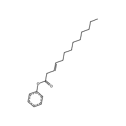 CCCCCCCCC/C=C/CC(=O)Oc1ccccc1